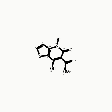 COC(=O)c1c(O)c2sccc2n(C)c1=O